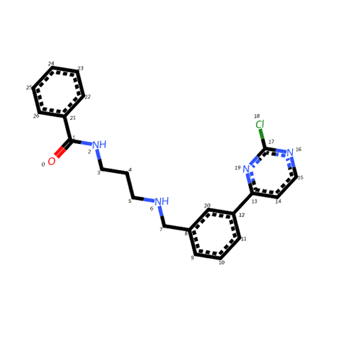 O=C(NCCCNCc1cccc(-c2ccnc(Cl)n2)c1)c1ccccc1